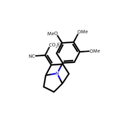 CCOC(=O)C(C#N)=C1CCC2CCC1N2c1cc(OC)c(OC)c(OC)c1